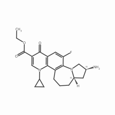 CCOC(=O)c1cn(C2CC2)c2c3c(c(F)cc2c1=O)N1C[C@@H](N)C[C@@H]1CCC3